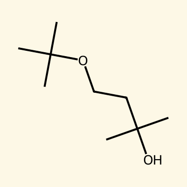 CC(C)(O)CCOC(C)(C)C